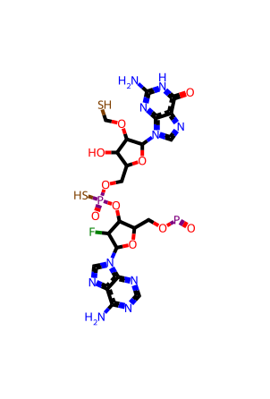 Nc1nc2c(ncn2C2OC(COP(=O)(S)OC3C(COP=O)OC(n4cnc5c(N)ncnc54)C3F)C(O)C2OCS)c(=O)[nH]1